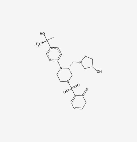 C[C@@](O)(c1ccc(N2CCN(S(=O)(=O)C3=CC=CCC3=S)C[C@H]2CN2CCC(O)C2)cc1)C(F)(F)F